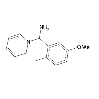 COc1ccc(C)c(C(N)N2C=CC=CC2)c1